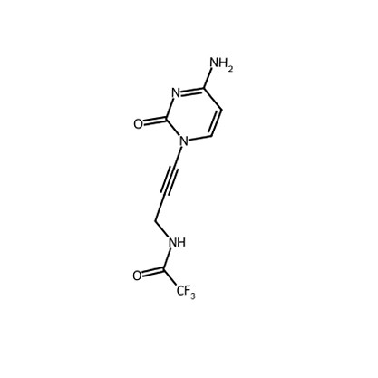 Nc1ccn(C#CCNC(=O)C(F)(F)F)c(=O)n1